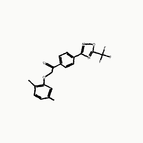 Cc1ccc(C)c(OCC(=O)c2ccc(-c3noc(C(F)(F)F)n3)cc2)c1